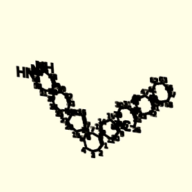 C1#CCCCCCC1.C1#CCCCCCC1.C1#CCCCCCC1.C1#CCCCCCC1.C1#CCCCCCC1.C1#CCCCCCC1.C1#CCCCCCC1.C1#CCCCCCC1.N=[N+]=N